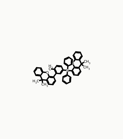 Cc1ccc([Si](c2ccccc2)(c2ccccc2)c2cccc3c2Oc2ccccc2C3(C)C)cc1-c1cccc2c1Oc1ccccc1C2(C)C